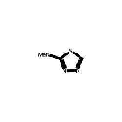 CNc1nn[c]s1